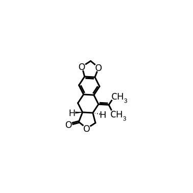 CC(C)=C1c2cc3c(cc2C[C@H]2C(=O)OC[C@H]12)OCO3